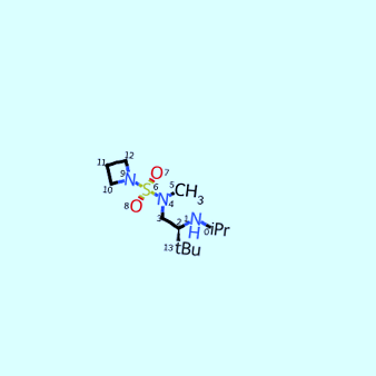 CC(C)N[C@H](CN(C)S(=O)(=O)N1CCC1)C(C)(C)C